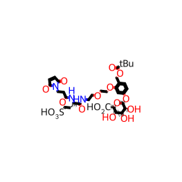 CC(C)(C)C(=O)OCc1ccc(O[C@@H]2O[C@H](C(=O)O)[C@@H](O)[C@H](O)[C@H]2O)cc1OCCOCCNC(=O)[C@H](CCS(=O)(=O)O)NC(=O)CCN1C(=O)C=CC1=O